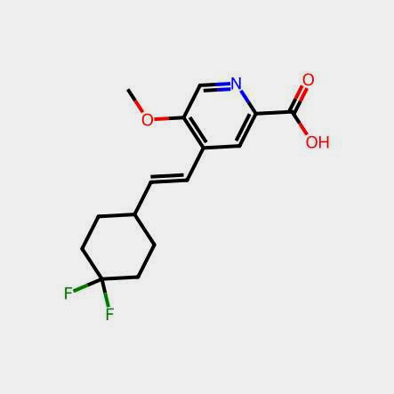 COc1cnc(C(=O)O)cc1C=CC1CCC(F)(F)CC1